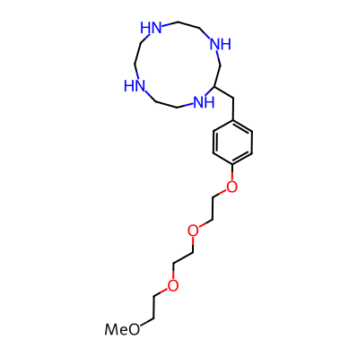 COCCOCCOCCOc1ccc(CC2CNCCNCCNCCN2)cc1